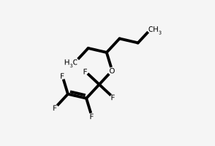 CCCC(CC)OC(F)(F)C(F)=C(F)F